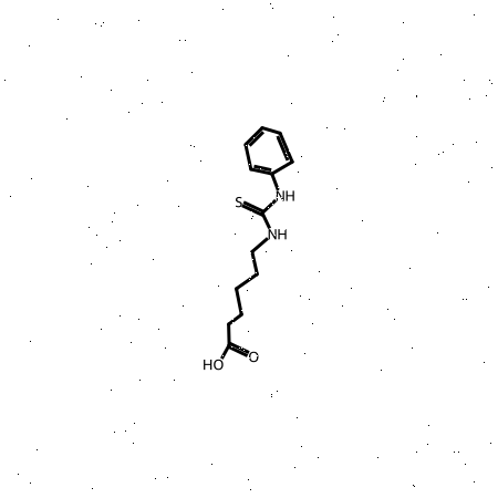 O=C(O)CCCCCNC(=S)Nc1ccccc1